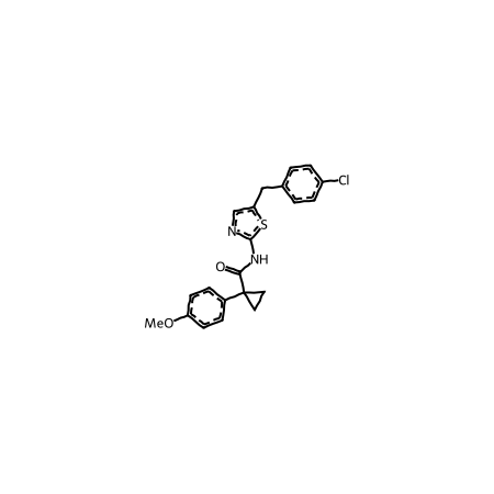 COc1ccc(C2(C(=O)Nc3ncc(Cc4ccc(Cl)cc4)s3)CC2)cc1